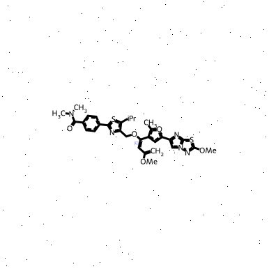 C=C(/C=C(/OCc1nc(-c2ccc(C(=O)N(C)C)cc2)sc1C(C)C)c1cc(-c2cn3nc(OC)sc3n2)oc1C)OC